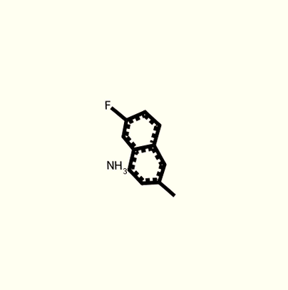 Cc1ccc2cc(F)ccc2c1.N